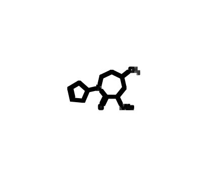 CNC1CC(C)CCN(C2CC=CC2)C1=O